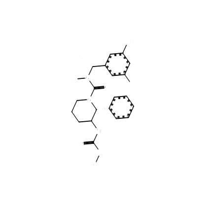 C[C@H](c1cc(C(F)(F)F)cc(C(F)(F)F)c1)N(C)C(=O)N1CCCC(NC(=O)OC(C)(C)C)[C@H]1c1ccccc1